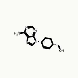 Nc1ncnc2c1ncn2[C@H]1C=C[C@@H](CO)CC1